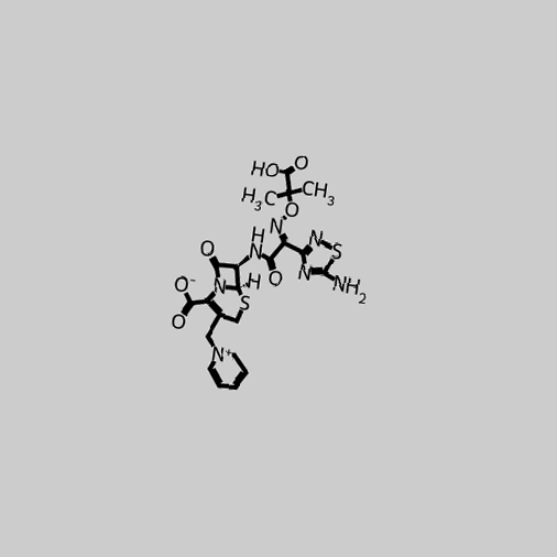 CC(C)(ON=C(C(=O)N[C@@H]1C(=O)N2C(C(=O)[O-])=C(C[n+]3ccccc3)CS[C@H]12)c1nsc(N)n1)C(=O)O